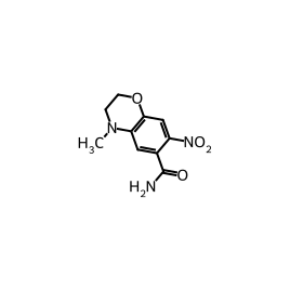 CN1CCOc2cc([N+](=O)[O-])c(C(N)=O)cc21